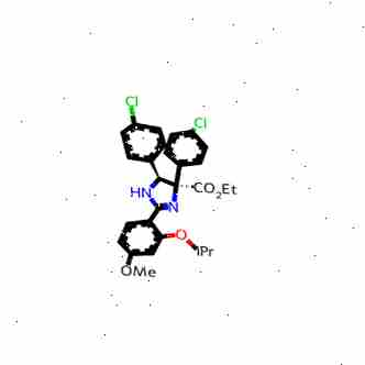 CCOC(=O)[C@]1(c2ccc(Cl)cc2)N=C(c2ccc(OC)cc2OC(C)C)N[C@H]1c1ccc(Cl)cc1